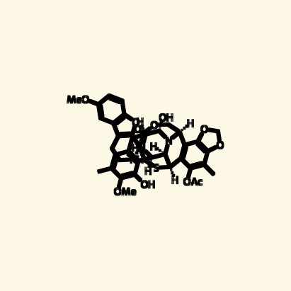 COc1ccc2oc3c(c2c1)CCN[C@]31CS[C@@H]2c3c(OC(C)=O)c(C)c4c(c3[C@H](COC1=O)N1[C@@H]2[C@@H]2N[C@@H](Cc3cc(C)c(OC)c(O)c32)[C@@H]1O)OCO4